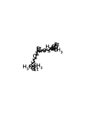 CCO[Si](C)(C)CCCCOCCN(CC)CCOCCCC[Si](C)(C)OCC